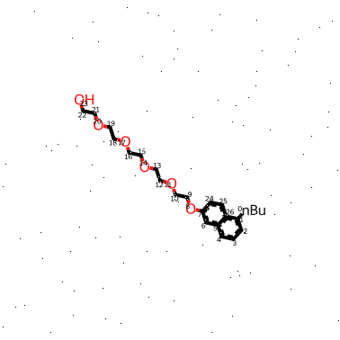 CCCCc1cccc2cc(OCCOCCOCCOCCOCCO)ccc12